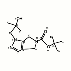 CC(C)(O)Cn1ncc2c1CN(C(=O)OC(C)(C)C)C2